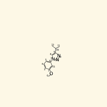 COc1cccc(-n2cc(C(C)C)nn2)c1